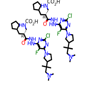 CN(C)CC(C)(C)C1CCN(c2nc(Cl)nc(NNC(=O)[C@@H](CNC(=O)O)CC3CCCC3)c2F)C1.CN(C)CC(C)(C)C1CCN(c2nc(Cl)nc(NNC(=O)[C@@H](CNC(=O)O)CC3CCCC3)c2F)C1